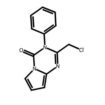 O=c1n(-c2ccccc2)c(CCl)nc2cccn12